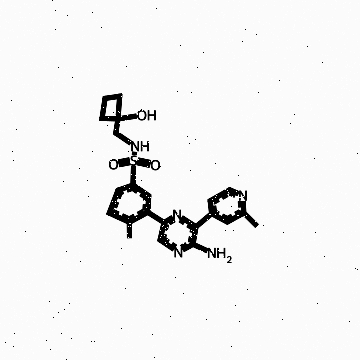 Cc1cc(-c2nc(-c3cc(S(=O)(=O)NCC4(O)CCC4)ccc3C)cnc2N)ccn1